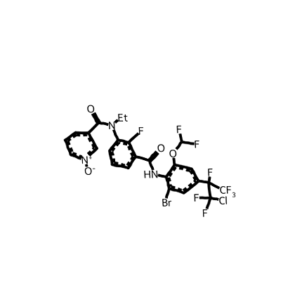 CCN(C(=O)c1ccc[n+]([O-])c1)c1cccc(C(=O)Nc2c(Br)cc(C(F)(C(F)(F)F)C(F)(F)Cl)cc2OC(F)F)c1F